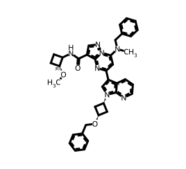 CO[C@@H]1CCC1NC(=O)c1cnn2c(N(C)Cc3ccccc3)cc(-c3cn([C@H]4C[C@@H](OCc5ccccc5)C4)c4ncccc34)nc12